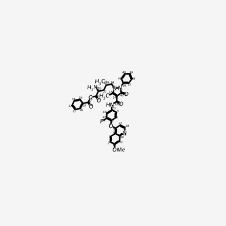 COc1ccc2c(Oc3ccc(NC(=O)c4c(C)n(C[C@@H](C)CC(N)C(=O)OC(=O)c5ccccc5)n(-c5ccccc5)c4=O)cc3F)ccnc2c1